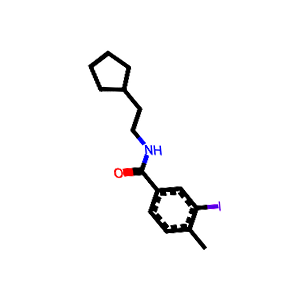 Cc1ccc(C(=O)NCCC2CCCC2)cc1I